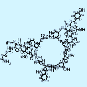 CCCC[C@@H](C(=O)N(C)[C@@H](CCCC)C(=O)N[C@@H](CC(C)C)C(=O)NCCSCC(N)CC)N(C)C(=O)[C@@H]1Cc2cn(c3ccccc23)CC(=O)CBc2ccc(C)cc2CNC[C@H](NC(=O)C2CCCN2C(=O)[C@H](CC(N)=O)NC(=O)[C@H](C)N(C)C(=O)CCc2ccc(O)cc2)C(=O)N[C@@H](CC(C)C)C(=O)N2C[C@H](O)CC2C(=O)N[C@@H](Cc2c[nH]c3ccccc23)C(=O)NCC(=O)N1